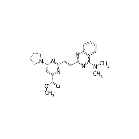 COC(=O)c1cc(N2CCCC2)nc(C=Cc2nc(N(C)C)c3ccccc3n2)n1